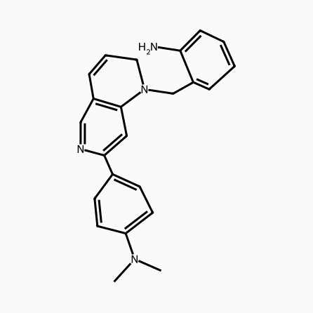 CN(C)c1ccc(-c2cc3c(cn2)C=CCN3Cc2ccccc2N)cc1